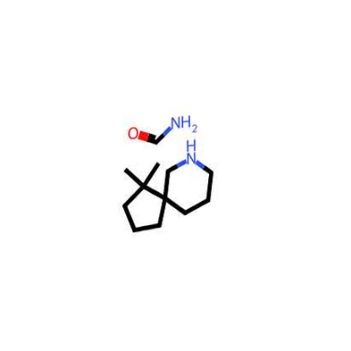 CC1(C)CCCC12CCCNC2.NC=O